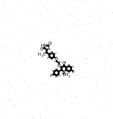 C/C(=C1/SC(=O)NC1=O)c1ccc(OCCOc2c(-c3ccc(F)cc3)n(C)c3cc(F)ccc3c2=O)cc1